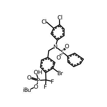 CCC(C)OP(=O)(O)C(F)(F)c1ccc(CN(c2ccc(Cl)c(Cl)c2)S(=O)(=O)c2ccccc2)cc1Br